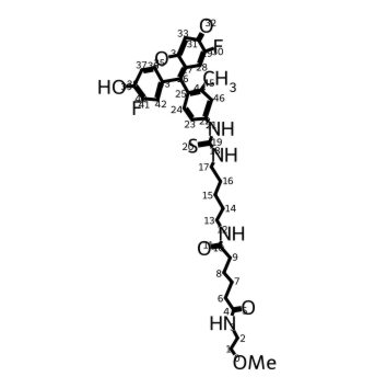 COCCNC(=O)CCCCC(=O)NCCCCCNC(=S)Nc1ccc(-c2c3cc(F)c(=O)cc-3oc3cc(O)c(F)cc23)c(C)c1